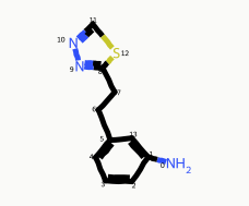 Nc1cccc(CCc2nncs2)c1